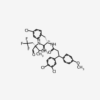 COc1ccc(C(CC(=O)N[C@@H](Cc2ccc(Cl)cc2)C(=O)N[C@@](C=O)(CC(F)(F)F)C(C)C)c2ccc(Cl)c(Cl)c2)cc1